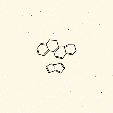 C1=CC2=CC=CC2=C1.C1=c2ccc3c(c2=CCC1)CCc1ccccc1-3